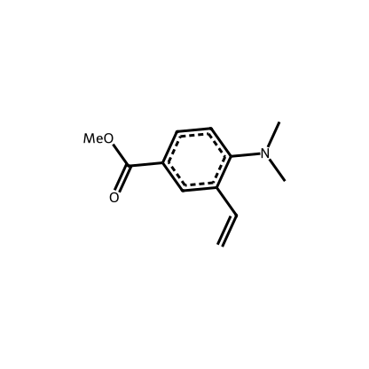 C=Cc1cc(C(=O)OC)ccc1N(C)C